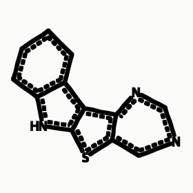 c1ccc2c(c1)[nH]c1sc3cncnc3c12